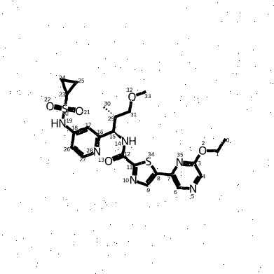 CCOc1cncc(-c2cnc(C(=O)N[C@@H](c3cc(NS(=O)(=O)C4CC4)ccn3)[C@H](C)COC)s2)n1